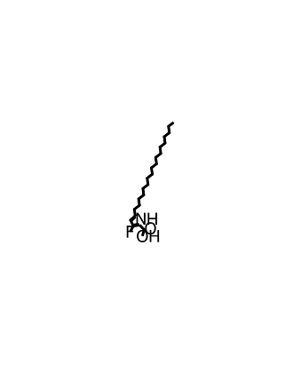 CCCCCCCCCCCCCCCCCCc1cc(F)c(C(=O)O)[nH]1